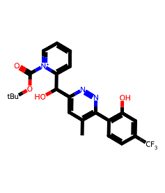 Cc1cc(C(O)c2cccc[n+]2C(=O)OC(C)(C)C)nnc1-c1ccc(C(F)(F)F)cc1O